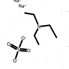 CCN(CC)CC.O=S(=O)([O-])[O-].[Na+].[Na+]